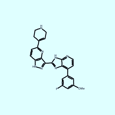 COc1cc(F)cc(-c2ccnc3[nH]c(-c4n[nH]c5ccc(C6=CCNCC6)nc45)nc23)c1